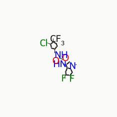 Cn1cc(NC(=O)C(=O)NCc2ccc(C(F)(F)F)c(Cl)c2)c2cc(F)c(F)cc21